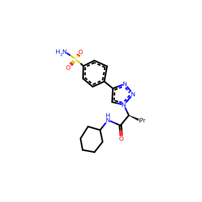 CC(C)[C@@H](C(=O)NC1CCCCC1)n1cc(-c2ccc(S(N)(=O)=O)cc2)nn1